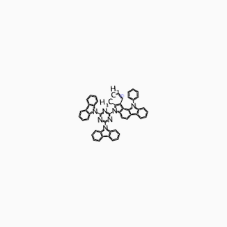 C/C=C\c1c(C)n(-c2nc(-n3c4ccccc4c4ccccc43)nc(-n3c4ccccc4c4ccccc43)n2)c2ccc3c4ccccc4n(-c4ccccc4)c3c12